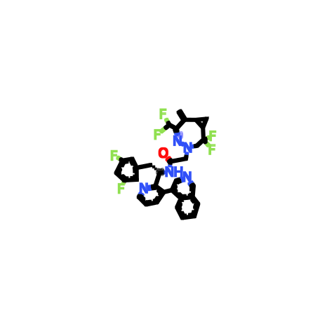 C=C1/C(C(F)F)=N\N(CC(=O)N[C@@H](Cc2cc(F)cc(F)c2)c2ncccc2-c2cncc3ccccc23)CC(F)(F)C2CC12